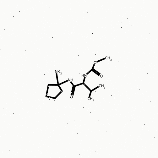 COC(=O)NC(C(=O)NC1(N)CCCC1)C(C)C